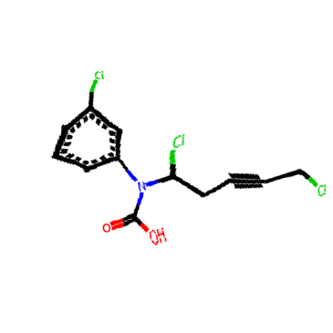 O=C(O)N(c1cccc(Cl)c1)C(Cl)CC#CCCl